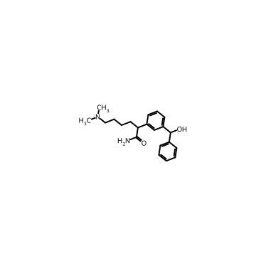 CN(C)CCCCC(C(N)=O)c1cccc(C(O)c2ccccc2)c1